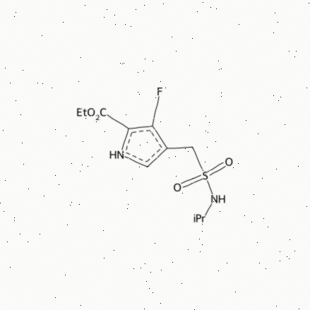 CCOC(=O)c1[nH]cc(CS(=O)(=O)NC(C)C)c1F